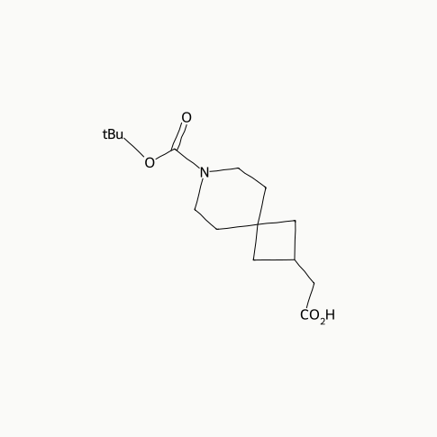 CC(C)(C)OC(=O)N1CCC2(CC1)CC(CC(=O)O)C2